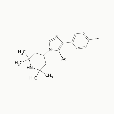 CC(=O)c1c(-c2ccc(F)cc2)ncn1C1CC(C)(C)NC(C)(C)C1